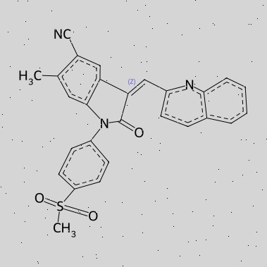 Cc1cc2c(cc1C#N)/C(=C/c1ccc3ccccc3n1)C(=O)N2c1ccc(S(C)(=O)=O)cc1